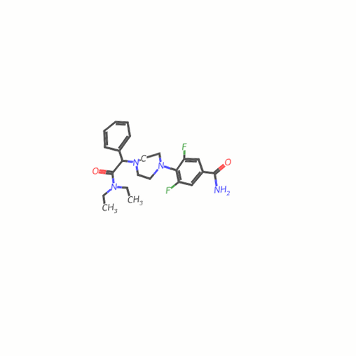 CCN(CC)C(=O)C(c1ccccc1)N1CCN(c2c(F)cc(C(N)=O)cc2F)CC1